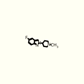 CN1CCC(n2cc3cc(F)ccc3n2)CC1